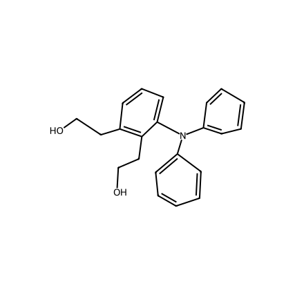 OCCc1cccc(N(c2ccccc2)c2ccccc2)c1CCO